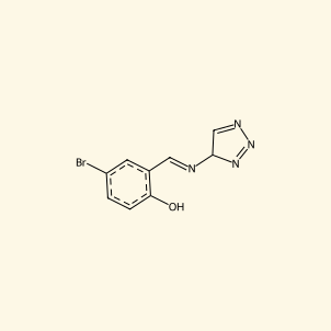 Oc1ccc(Br)cc1C=NC1C=NN=N1